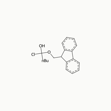 CCCCC(O)(Cl)OCC1c2ccccc2-c2ccccc21